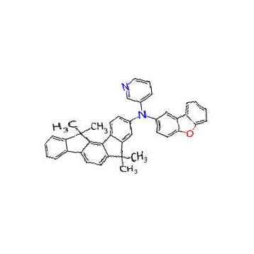 CC1(C)c2cc(N(c3cccnc3)c3ccc4oc5ccccc5c4c3)ccc2-c2c1ccc1c2C(C)(C)c2ccccc2-1